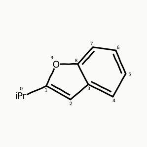 [CH2]C(C)c1cc2ccccc2o1